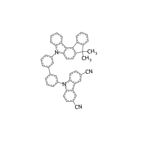 CC1(C)c2ccccc2-c2c1ccc1c2c2ccccc2n1-c1cccc(-c2cccc(-n3c4ccc(C#N)cc4c4cc(C#N)ccc43)c2)c1